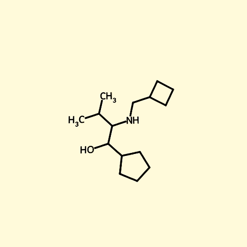 CC(C)C(NCC1CCC1)C(O)C1CCCC1